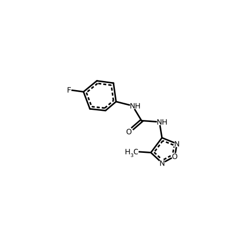 Cc1nonc1NC(=O)Nc1ccc(F)cc1